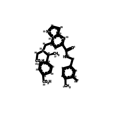 Cc1ccc(CNC(=O)c2cc(CN(CC(=O)O)[C@@H](C)c3ccc(C(=O)O)cc3)n3nccc3n2)cc1F